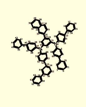 c1ccc(-c2ccc(N(c3ccc(-c4ccccc4)cc3)c3cc(-c4ccc5ccccc5c4)cc(N(c4ccc(-c5ccccc5)cc4)c4ccc(-c5cccc(-c6ccccc6)c5)cc4)c3)cc2)cc1